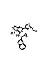 CCC(C)n1ncc2nc(-c3cnn(CCF)c3)nc(N[C@@H](c3cnc4ccccc4c3)C3CC3)c21